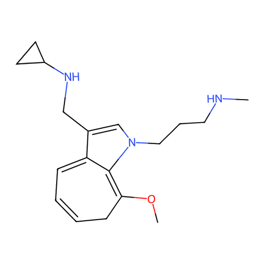 CNCCCn1cc(CNC2CC2)c2c1=C(OC)CC=CC=2